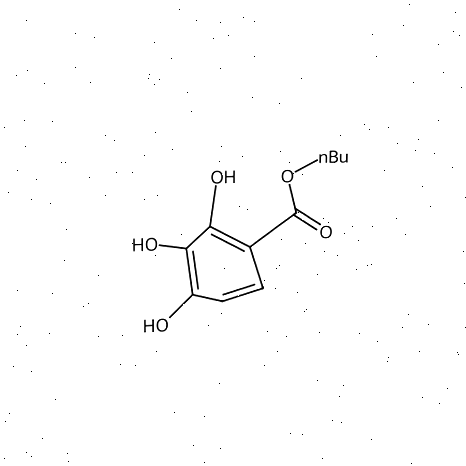 CCCCOC(=O)c1ccc(O)c(O)c1O